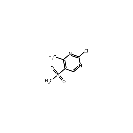 Cc1nc(Cl)ncc1S(C)(=O)=O